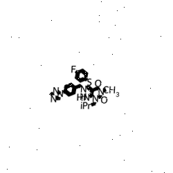 CC(C)CN1C(=N)/C(=C(\NCc2ccc(-n3cncn3)cc2)Sc2ccc(F)cc2)C(=O)N(C)C1=O